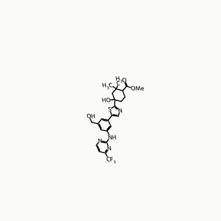 COC(=O)C1CCC(O)(c2ncc(-c3cc(CO)cc(Nc4nccc(C(F)(F)F)n4)c3)s2)CC1(C)C